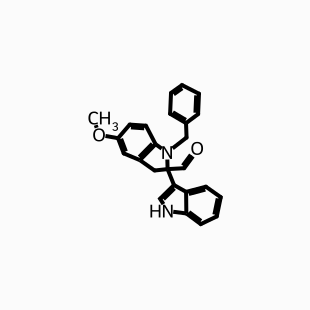 COc1ccc2c(c1)CC(C=O)(c1c[nH]c3ccccc13)N2Cc1ccccc1